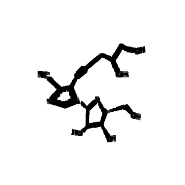 N#Cc1ncn([C@@H]2O[C@H](CO)[C@@H](O)[C@H]2O)c1C#CCC(O)CO